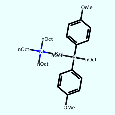 CCCCCCCC[B-](CCCCCCCC)(c1ccc(OC)cc1)c1ccc(OC)cc1.CCCCCCCC[N+](CCCCCCCC)(CCCCCCCC)CCCCCCCC